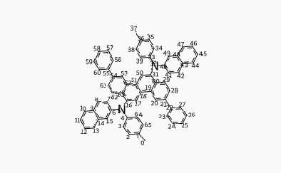 Cc1ccc(N(c2ccc3ccccc3c2)c2cc3c4cc(-c5ccccc5)ccc4c(N(c4ccc(C)cc4)c4ccc5ccccc5c4)cc3c3cc(-c4ccccc4)ccc23)cc1